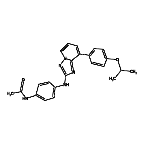 CC(=O)Nc1ccc(Nc2nc3c(-c4ccc(OC(C)C)cc4)cccn3n2)cc1